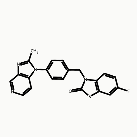 Cc1nc2cnccc2n1-c1ccc(Cn2c(=O)sc3cc(F)ccc32)cc1